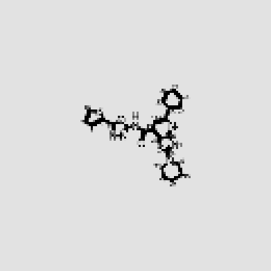 O=C(Nc1nnc(-c2cccs2)o1)c1cc(-c2ccccc2)nc2nc(N3CCCCC3)sc12